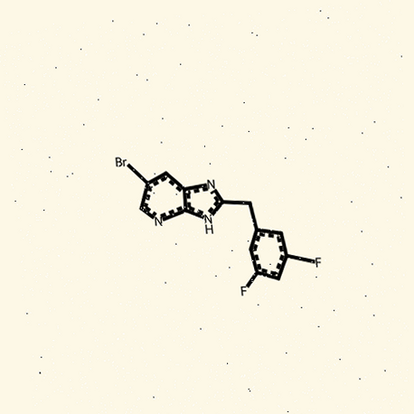 Fc1cc(F)cc(Cc2nc3cc(Br)cnc3[nH]2)c1